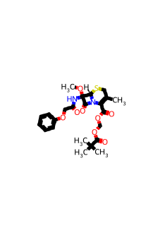 COC1(NC(=O)COc2ccccc2)C(=O)N2C(C(=O)OCOC(=O)C(C)(C)C)=C(C)CS[C@@H]21